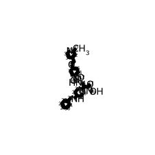 Cc1cc(COc2ccc(S(=O)(=O)NCC(C(=O)NO)N3CCC(NCc4ccccc4)CC3)cc2)ccn1